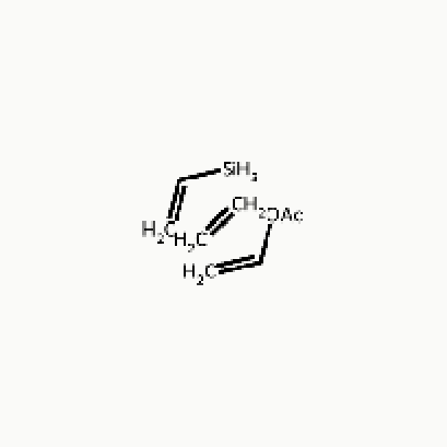 C=C.C=COC(C)=O.C=C[SiH3]